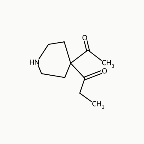 CCC(=O)C1(C(C)=O)CCNCC1